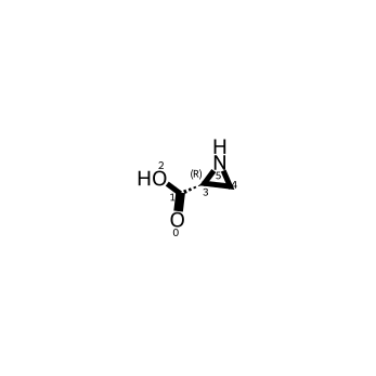 O=C(O)[C@H]1CN1